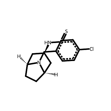 S=PN[C@H]1C[C@H]2CC[C@@H](C1)N2Cc1ccc(Cl)cc1